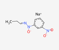 CCC=NN([O-])c1cccc([N+](=O)[O-])c1.[Na+]